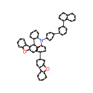 c1cc(-c2ccc(N(c3ccc(-c4ccc5c(c4)oc4ccccc45)cc3)c3ccccc3-c3cccc4oc5ccccc5c34)cc2)cc(-c2cccc3ccccc23)c1